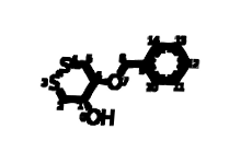 O[C@H]1CSSC[C@H]1OCc1ccccc1